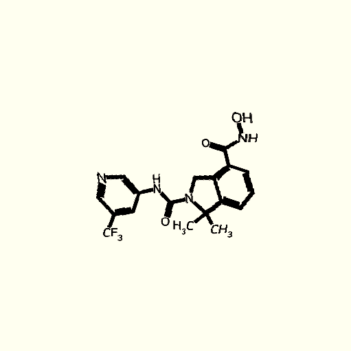 CC1(C)c2cccc(C(=O)NO)c2CN1C(=O)Nc1cncc(C(F)(F)F)c1